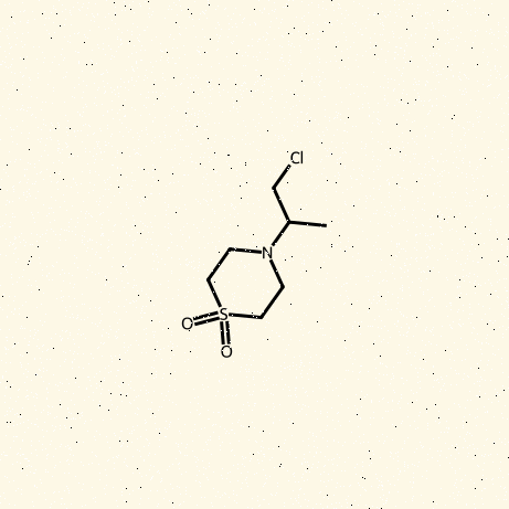 CC(CCl)N1CCS(=O)(=O)CC1